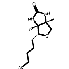 CC(=O)CCCC[C@H]1SC[C@@]2(C)NC(=O)N[C@@H]12